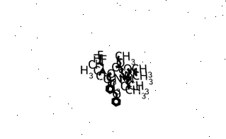 CC1(C)[C@H](C(=O)OC(C#N)c2cccc(Oc3ccccc3)c2)[C@@H]1/C=C(\Cl)C(F)(F)F.CCOC(=O)CSc1nc(C(C)(C)C)nn1C(=O)N(C)C